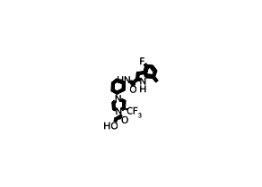 Cc1ccc(F)c2c1NC(C(=O)N[C@@H]1CCC[C@@H](N3CCN(C(=O)CO)[C@H](C(F)(F)F)C3)C1)C2